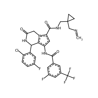 C=NCC1(CNC(=O)c2cc(NC(=O)c3cc(F)cc(C(F)(F)F)c3)c3n2CC(=O)NC3c2cc(F)ccc2Cl)CC1